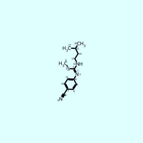 CS/C(=N\c1ccc(C#N)cc1)NCCC(C)C